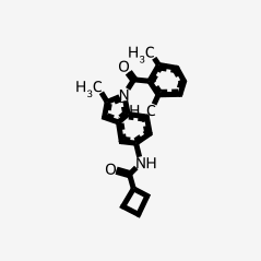 Cc1cccc(C)c1C(=O)n1c(C)cc2cc(NC(=O)C3CCC3)ccc21